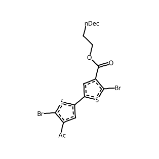 CCCCCCCCCCCCOC(=O)c1cc(-c2cc(C(C)=O)c(Br)s2)sc1Br